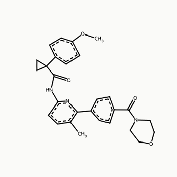 COc1ccc(C2(C(=O)Nc3ccc(C)c(-c4ccc(C(=O)N5CCOCC5)cc4)n3)CC2)cc1